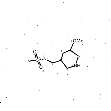 COC1CNCC(CNS(C)(=O)=O)C1